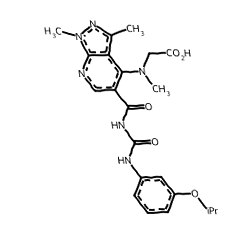 Cc1nn(C)c2ncc(C(=O)NC(=O)Nc3cccc(OC(C)C)c3)c(N(C)CC(=O)O)c12